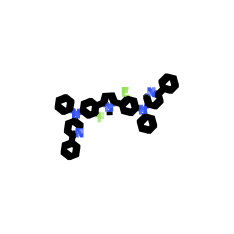 Cn1c(-c2ccc(N(c3ccccc3)c3ccc(-c4ccccc4)nc3)cc2F)ccc1-c1ccc(N(c2ccccc2)c2ccc(-c3ccccc3)nc2)cc1F